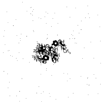 [2H]C([2H])([2H])c1noc2ccc(S(=O)(=O)N(C[C@@H](O)[C@H](Cc3ccc(OC([2H])([2H])c4csc(C)n4)cc3)NC(=O)O[C@]3([2H])[C@@H]4CCO[C@@H]4OC3([2H])[2H])CC([2H])(C([2H])([2H])[2H])C([2H])([2H])[2H])cc12